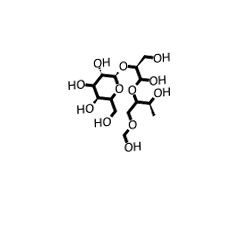 C[C@H](O)C(COCO)OC(O)[C@H](CO)O[C@@H]1OC(CO)[C@@H](O)C(O)[C@@H]1O